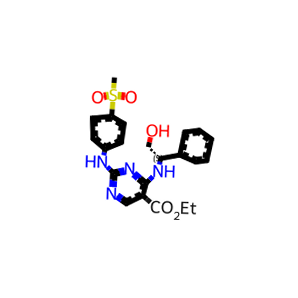 CCOC(=O)c1cnc(Nc2ccc(S(C)(=O)=O)cc2)nc1N[C@H](CO)c1ccccc1